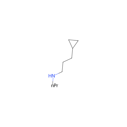 [CH2]CCNCCCC1CC1